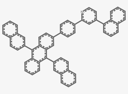 c1ccc2cc(-c3c4ccccc4c(-c4ccc5ccccc5c4)c4cc(-c5ccc(-c6cc(-c7cccc8ccccc78)ccn6)cc5)ccc34)ccc2c1